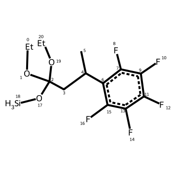 CCOC(CC(C)c1c(F)c(F)c(F)c(F)c1F)(O[SiH3])OCC